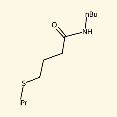 CCCCNC(=O)CCCSC(C)C